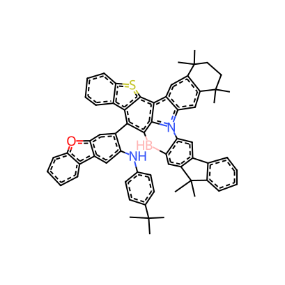 CC(C)(C)c1ccc(Nc2cc3c(cc2-c2c4c5c(c6cc7c(cc6n5-c5cc6c(cc5B4)C(C)(C)c4ccccc4-6)C(C)(C)CCC7(C)C)c4sc5ccccc5c24)oc2ccccc23)cc1